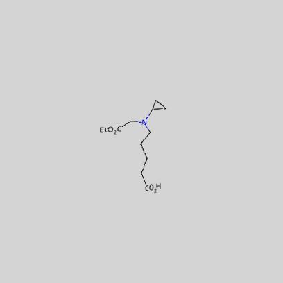 CCOC(=O)CN(CCCCC(=O)O)C1CC1